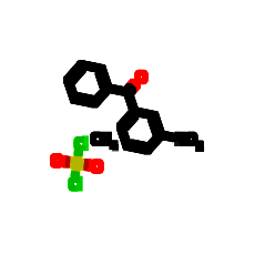 C.O=C(c1ccccc1)c1cccc([N+](=O)[O-])c1.O=S(=O)(Cl)Cl